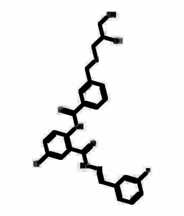 O=C(Nc1ccc(Cl)cc1C(=O)NN=Cc1cccc(F)c1)c1cccc(CSCC(O)CO)c1